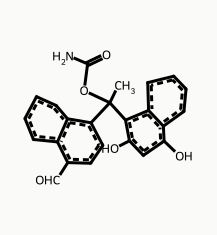 CC(OC(N)=O)(c1ccc(C=O)c2ccccc12)c1c(O)cc(O)c2ccccc12